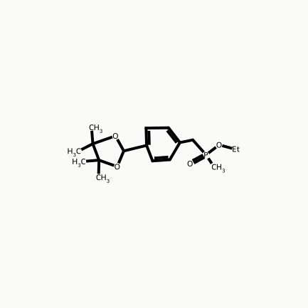 CCOP(C)(=O)Cc1ccc(C2OC(C)(C)C(C)(C)O2)cc1